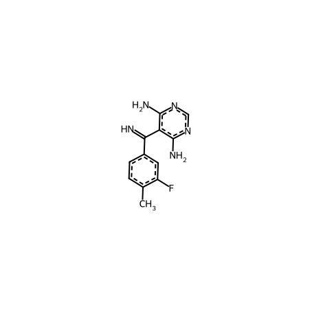 Cc1ccc(C(=N)c2c(N)ncnc2N)cc1F